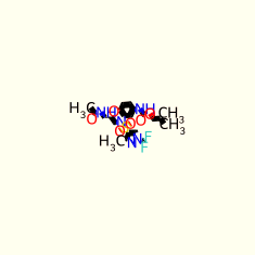 CC(=O)NC[C@H]1CN(S(=O)(=O)c2cn(C(F)F)nc2C)c2cc(NC(=O)OCC(C)C)ccc2O1